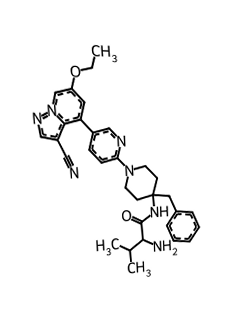 CCOc1cc(-c2ccc(N3CCC(Cc4ccccc4)(NC(=O)C(N)C(C)C)CC3)nc2)c2c(C#N)cnn2c1